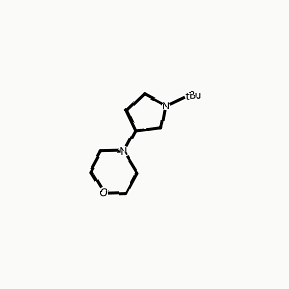 CC(C)(C)N1CCC(N2CCOCC2)C1